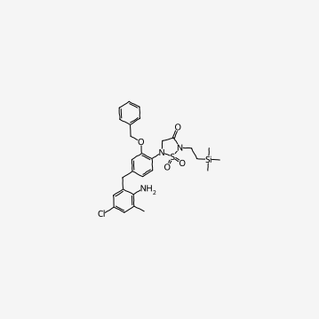 Cc1cc(Cl)cc(Cc2ccc(N3CC(=O)N(CC[Si](C)(C)C)S3(=O)=O)c(OCc3ccccc3)c2)c1N